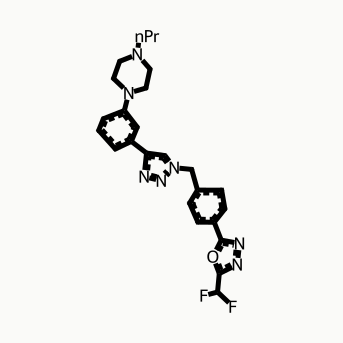 CCCN1CCN(c2cccc(-c3cn(Cc4ccc(-c5nnc(C(F)F)o5)cc4)nn3)c2)CC1